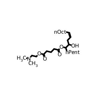 CCCCCCCC/C=C\CC(O)C(CCCCC)OC(=O)CCCC(=O)OCCN(C)C